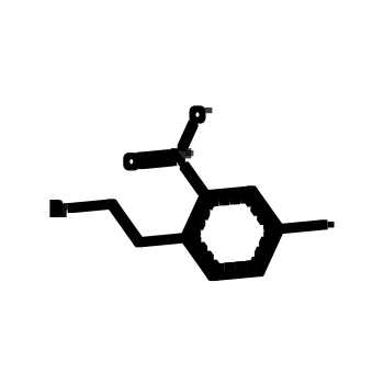 [CH2]c1ccc(CCBr)c([N+](=O)[O-])c1